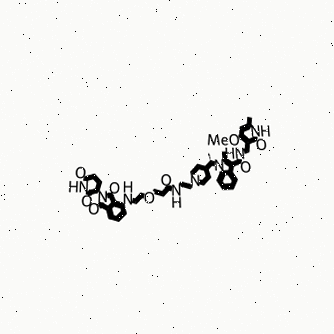 COc1cc(C)[nH]c(=O)c1CNC(=O)c1c(C)n([C@@H](C)C2CCN(CCNC(=O)CCOCCNc3cccc4c3C(=O)N(C3CCC(=O)NC3=O)C4=O)CC2)c2ccccc12